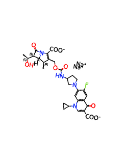 C[C@H](O)[C@H]1C(=O)N2C(C(=O)[O-])=C(COC(=O)NC3CCN(c4cc5c(cc4F)c(=O)c(C(=O)[O-])cn5C4CC4)C3)[C@@H](C)[C@@H]12.[Na+].[Na+]